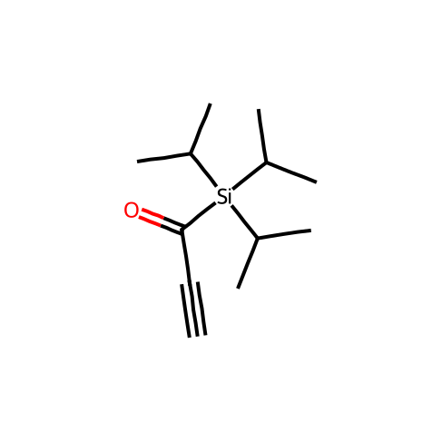 C#CC(=O)[Si](C(C)C)(C(C)C)C(C)C